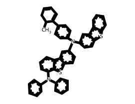 CC1CC=CC=C1c1ccc(N(c2ccc3sc4ccccc4c3c2)c2ccc3sc4c(N(c5ccccc5)c5ccccc5)cccc4c3c2)cc1